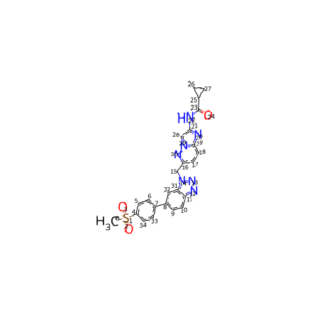 CS(=O)(=O)c1ccc(-c2ccc3nnn(Cc4ccc5nc(NC(=O)C6CC6)cn5n4)c3c2)cc1